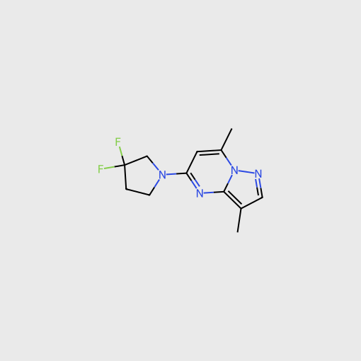 Cc1cnn2c(C)cc(N3CCC(F)(F)C3)nc12